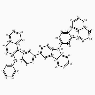 c1ccc(-n2c3ccc(-c4ccc5c(c4)c4ccccc4n5-c4ccc5c(n4)-c4ccnc6cccc-5c46)cc3c3c4ccccc4ccc32)cc1